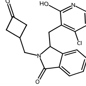 O=C1CC(CN2C(=O)c3ccccc3C2Cc2c(Cl)ccnc2O)C1